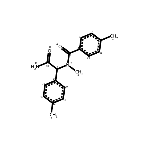 [CH2]c1ccc(C(=O)N(C)C(C(N)=O)c2ccc(C)cc2)cc1